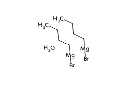 CCC[CH2][Mg][Br].CCC[CH2][Mg][Br].O